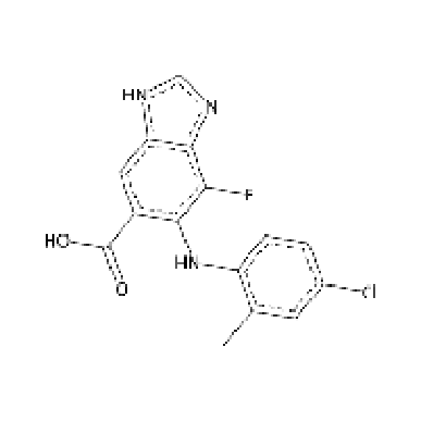 Cc1cc(Cl)ccc1Nc1c(C(=O)O)cc2[nH]cnc2c1F